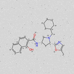 Cc1cnc([C@@H]2C[C@H](NC(=O)c3ccc4ccccc4c3O)CN2CC2CCCCC2)o1